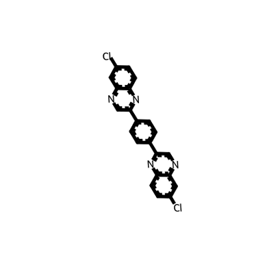 Clc1ccc2nc(-c3ccc(-c4cnc5cc(Cl)ccc5n4)cc3)cnc2c1